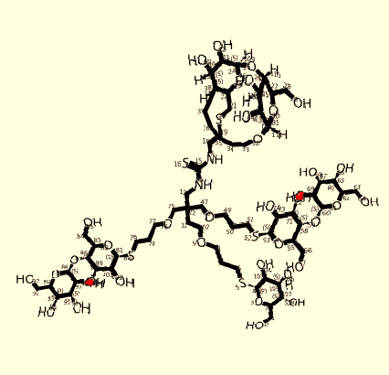 OCC1O[C@H](SCCCOCCC(CNC(=S)NCCSCC2O[C@@H]3O[C@@H]4C(CO)O[C@H](OCCCCC[C@H]2[C@H](O)C3O)C(O)[C@H]4O)(COCCCS[C@@H]2OC(CO)[C@@H](O[C@@H]3OC(CO)[C@H](O)[C@H](O)C3O)[C@H](O)C2O)COCCCS[C@@H]2OC(CO)[C@@H](O[C@@H]3OC(CO)[C@H](O)[C@H](O)C3O)[C@H](O)C2O)C(O)[C@@H](O)[C@@H]1O